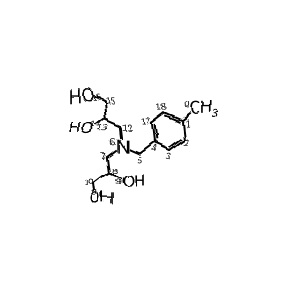 Cc1ccc(CN(CC(O)CO)CC(O)CO)cc1